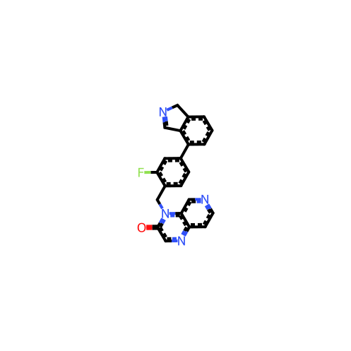 O=c1cnc2ccncc2n1Cc1ccc(-c2cccc3c2C=NC3)cc1F